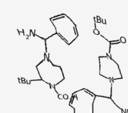 CC(C)(C)C1CN(C(N)c2ccccc2)CCN1C(=O)O.CC(C)(C)OC(=O)N1CCN(C(N)c2ccccc2)CC1